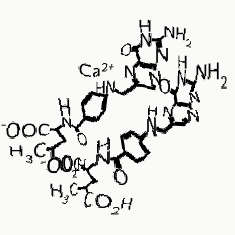 CC(CC(NC(=O)c1ccc(NCc2cnc3nc(N)[nH]c(=O)c3n2)cc1)C(=O)[O-])C(=O)O.CC(CC(NC(=O)c1ccc(NCc2cnc3nc(N)[nH]c(=O)c3n2)cc1)C(=O)[O-])C(=O)O.[Ca+2]